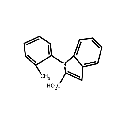 Cc1ccccc1-n1c(C(=O)O)cc2ccccc21